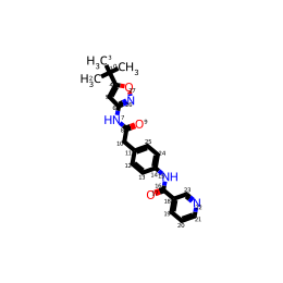 CC(C)(C)c1cc(NC(=O)Cc2ccc(NC(=O)c3cccnc3)cc2)no1